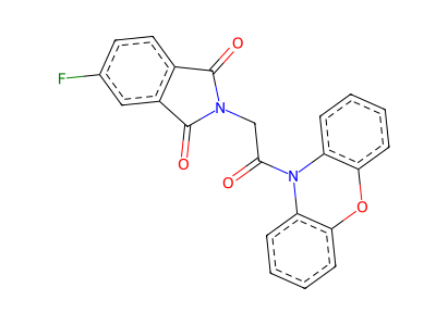 O=C1c2ccc(F)cc2C(=O)N1CC(=O)N1c2ccccc2Oc2ccccc21